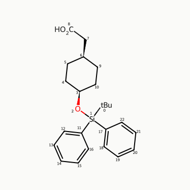 CC(C)(C)[Si](O[C@H]1CC[C@@H](CC(=O)O)CC1)(c1ccccc1)c1ccccc1